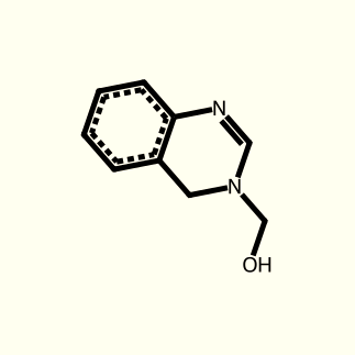 OCN1C=Nc2ccccc2C1